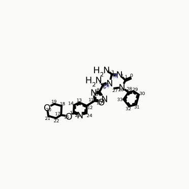 C=C(/N=C(N)\N=C(/N)c1noc(-c2ccc(OC3CCOCC3)nc2)n1)N(C)c1ccccc1